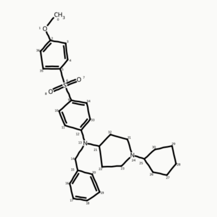 COc1ccc(S(=O)(=O)c2ccc(N(Cc3ccccc3)C3CCN(C4CCCCC4)CC3)cc2)cc1